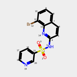 O=S(=O)(Nc1ccc2cccc(Br)c2n1)c1cccnc1